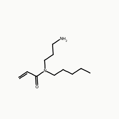 C=CC(=O)N(CCCN)CCCCC